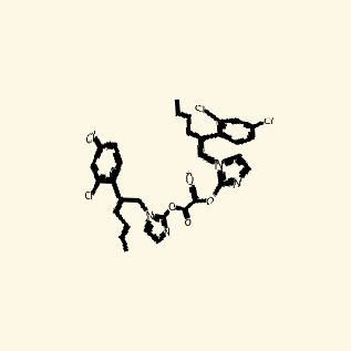 CCCCC(Cn1ccnc1OC(=O)C(=O)Oc1nccn1CC(CCCC)c1ccc(Cl)cc1Cl)c1ccc(Cl)cc1Cl